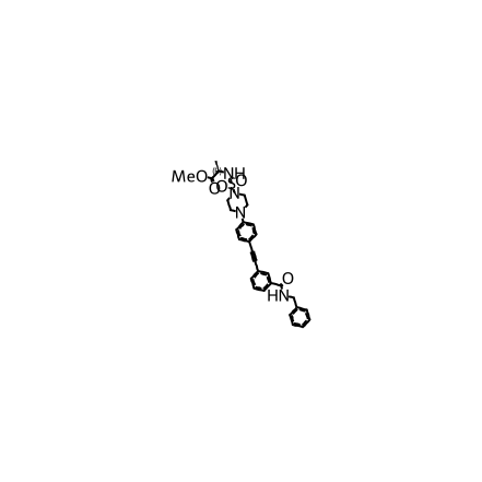 COC(=O)[C@@H](C)NS(=O)(=O)N1CCN(c2ccc(C#Cc3cccc(C(=O)NCc4ccccc4)c3)cc2)CC1